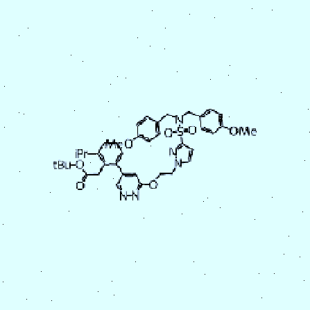 COc1ccc(CN(Cc2ccc(OC)cc2)S(=O)(=O)c2ccn(CCOc3cc(-c4cccc(C(C)C)c4CC(=O)OC(C)(C)C)cnn3)n2)cc1